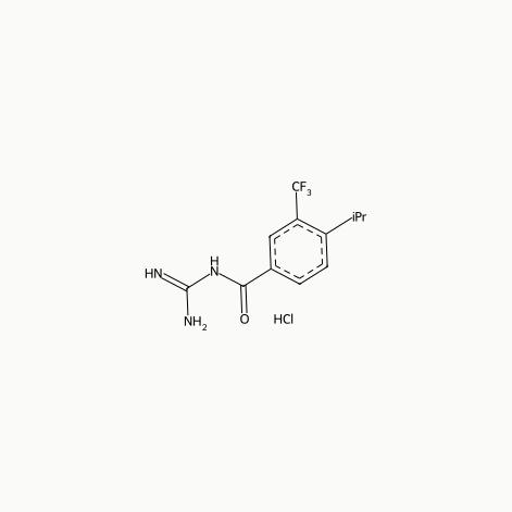 CC(C)c1ccc(C(=O)NC(=N)N)cc1C(F)(F)F.Cl